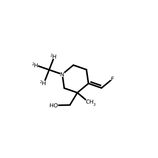 [2H]C([2H])([2H])N1CCC(=CF)C(C)(CO)C1